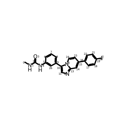 CNC(=O)Nc1cccc(-c2cnc3cc(-c4ccc(F)cc4)ccn23)c1